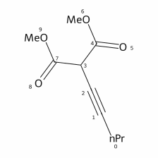 CCCC#CC(C(=O)OC)C(=O)OC